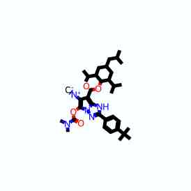 [C-]#[N+]c1c(C(=O)OC2C(C(C)C)CC(CC(C)C)CC2C(C)C)c2[nH]c(-c3ccc(C(C)(C)C)cc3)nn2c1OC(=O)N(C)C